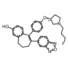 Oc1ccc2c(c1)CCCC(c1ccc3nonc3c1)=C2c1ccc(O[C@H]2CCN(CCCF)C2)cc1